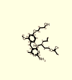 CCC[C@@H](CCOC(C)=O)Nc1nc(N)nc(C)c1Cc1ccc(OCCCO)cc1OC